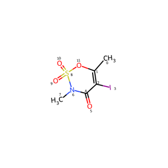 CC1=C(I)C(=O)N(C)S(=O)(=O)O1